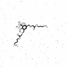 CCCCOC(=O)CSCc1cc(CSCC(=O)OCCCC)c(O)c(C(C)(C)C)c1